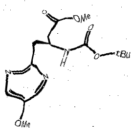 COC(=O)[C@H](Cc1ncc(OC)cn1)NC(=O)OC(C)(C)C